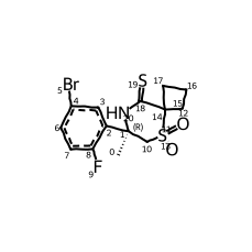 C[C@@]1(c2cc(Br)ccc2F)CS(=O)(=O)C2(CCC2)C(=S)N1